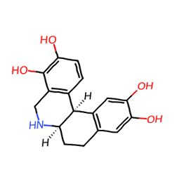 Oc1cc2c(cc1O)[C@@H]1c3ccc(O)c(O)c3CN[C@@H]1CC2